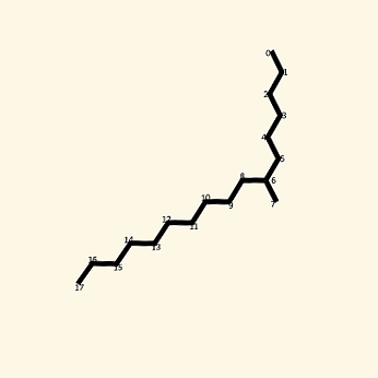 CCCC[CH]CC(C)CCCCCCCCCC